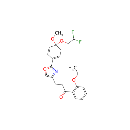 CCOc1ccccc1C(=O)CCc1coc(C2=CCC(OC)(OCC(F)F)C=C2)n1